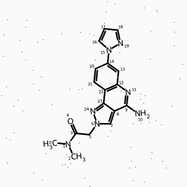 CN(C)C(=O)Cn1cc2c(N)nc3cc(-n4cccn4)ccc3c2n1